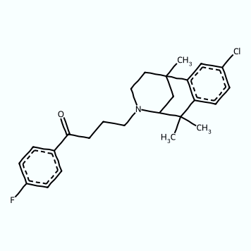 CC12CCN(CCCC(=O)c3ccc(F)cc3)C(C1)C(C)(C)c1ccc(Cl)cc12